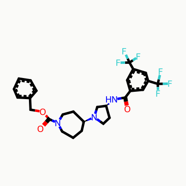 O=C(N[C@@H]1CCN([C@H]2CCCN(C(=O)OCc3ccccc3)CC2)C1)c1cc(C(F)(F)F)cc(C(F)(F)F)c1